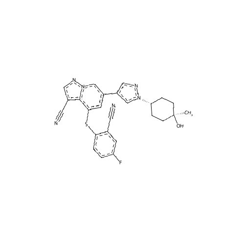 C[C@]1(O)CC[C@H](n2cc(-c3cc(Sc4ccc(F)cc4C#N)c4c(C#N)cnn4c3)cn2)CC1